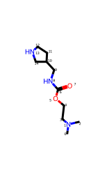 CN(C)CCOC(=O)NCC1CCNC1